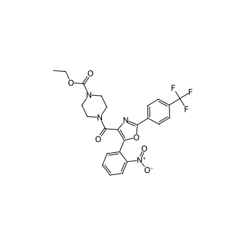 CCOC(=O)N1CCN(C(=O)c2nc(-c3ccc(C(F)(F)F)cc3)oc2-c2ccccc2[N+](=O)[O-])CC1